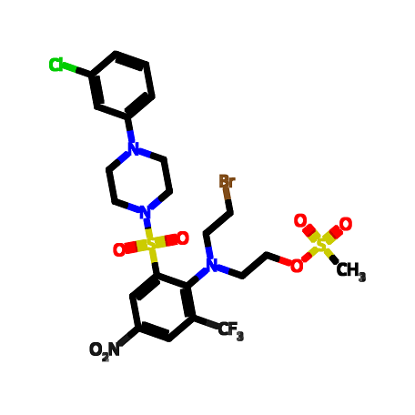 CS(=O)(=O)OCCN(CCBr)c1c(C(F)(F)F)cc([N+](=O)[O-])cc1S(=O)(=O)N1CCN(c2cccc(Cl)c2)CC1